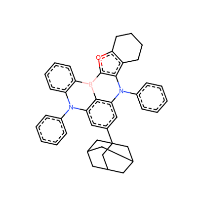 c1ccc(N2c3ccccc3B3c4oc5c(c4N(c4ccccc4)c4cc(C67CC8CC(CC(C8)C6)C7)cc2c43)CCCC5)cc1